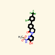 CS(=O)(=O)Nc1nc(N2CCc3cc(-c4ccc(C(F)(F)F)cc4Br)ccc3C2=O)ccc1O